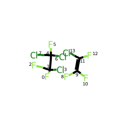 FC(F)(Cl)C(F)(Cl)Cl.FC(F)=C(F)Cl